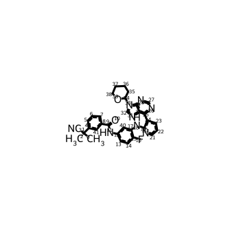 CC(C)(C#N)c1cccc(C(=O)Nc2ccc(F)c(Nc3ncccc3-c3ncnc4c3ncn4C3CCCCO3)c2)c1